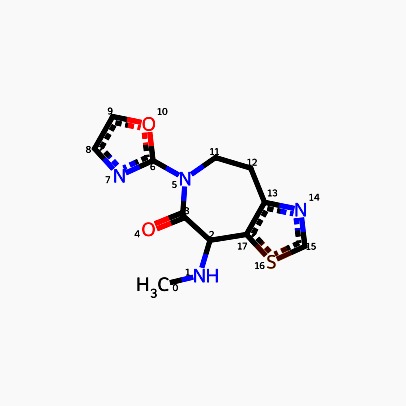 CNC1C(=O)N(c2ncco2)CCc2ncsc21